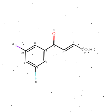 O=C(O)/C=C/C(=O)c1cc(F)cc(I)c1